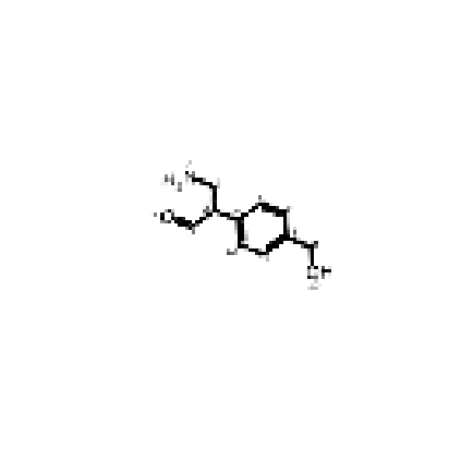 NCC(C=O)c1ccc(CO)cc1